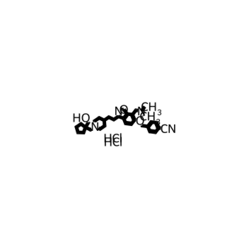 CN(C)Cc1c(OCc2ccc(C#N)cc2)ccc2c(CCC3CCN(CC4(CO)CCCC4)CC3)noc12.Cl.Cl